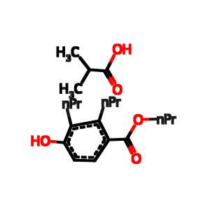 CC(C)C(=O)O.CCCOC(=O)c1ccc(O)c(CCC)c1CCC